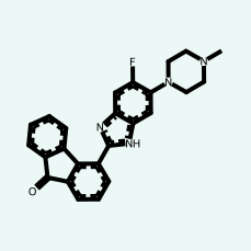 CN1CCN(c2cc3[nH]c(-c4cccc5c4-c4ccccc4C5=O)nc3cc2F)CC1